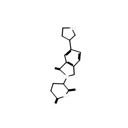 O=C1CCC(N2Cc3ccc(C4CCNC4)cc3C2=O)C(=O)N1